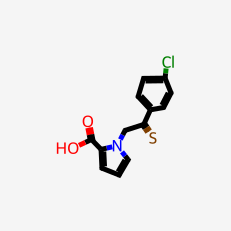 O=C(O)c1cccn1CC(=S)c1ccc(Cl)cc1